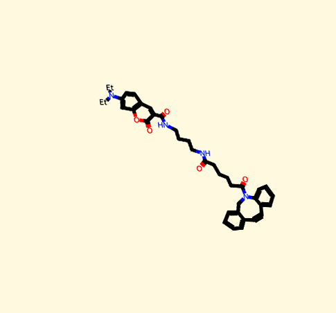 CCN(CC)c1ccc2cc(C(=O)NCCCCNC(=O)CCCCC(=O)N3Cc4ccccc4C#Cc4ccccc43)c(=O)oc2c1